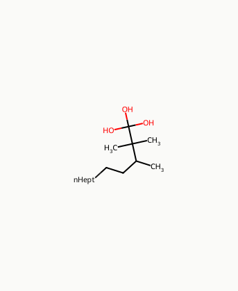 CCCCCCCCCC(C)C(C)(C)C(O)(O)O